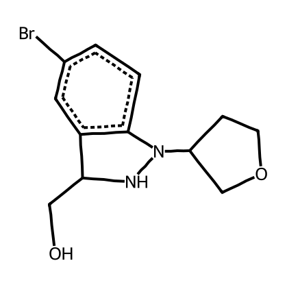 OCC1NN(C2CCOC2)c2ccc(Br)cc21